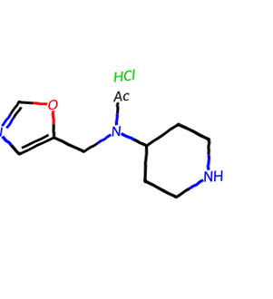 CC(=O)N(Cc1cnco1)C1CCNCC1.Cl